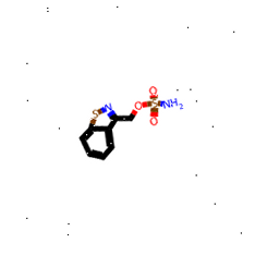 NS(=O)(=O)OCc1nsc2ccccc12